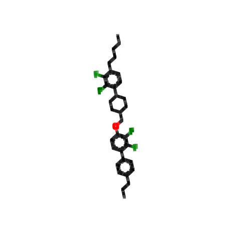 CCCCCc1ccc(C2CCC(COc3ccc(-c4ccc(CCC)cc4)c(F)c3F)CC2)c(F)c1F